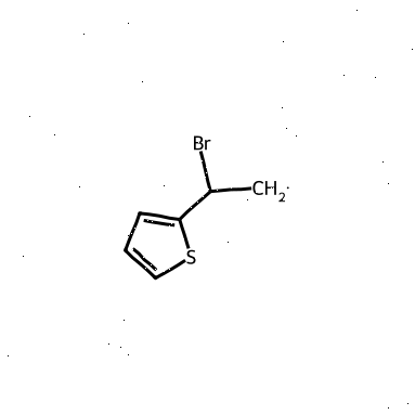 [CH2]C(Br)c1cccs1